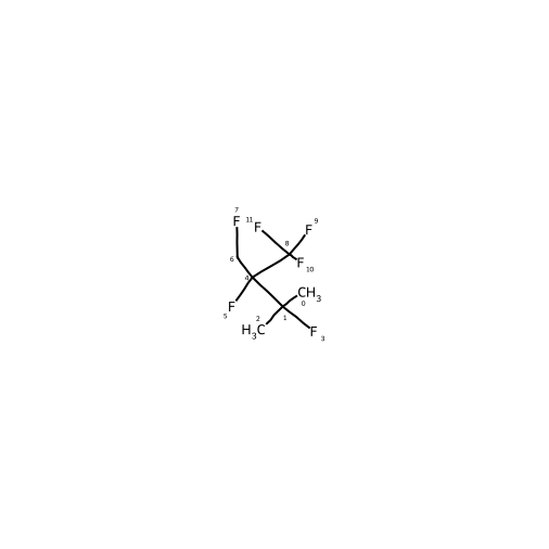 CC(C)(F)C(F)(CF)C(F)(F)F